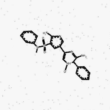 CN(c1ccccc1)S(=O)(=O)c1cc(C2=C[NH+]([O-])C(c3ccccc3)C(N)=N2)cnc1N